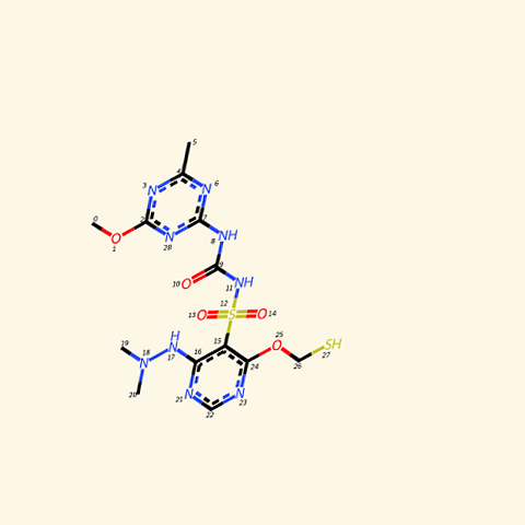 COc1nc(C)nc(NC(=O)NS(=O)(=O)c2c(NN(C)C)ncnc2OCS)n1